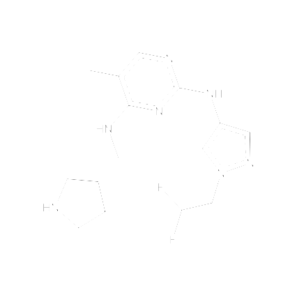 Cc1cnc(Nc2cnn(CC(F)F)c2)nc1NC[C@@H]1CCNC1